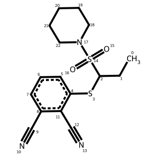 CCC(Sc1cccc(C#N)c1C#N)S(=O)(=O)N1CCCCC1